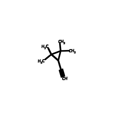 C#CC1C(C)(C)C1(C)C